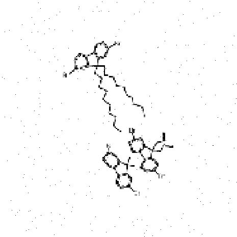 C=CCC1(CC=C)c2cc(Br)ccc2-c2ccc(Br)cc21.CC1(C)c2cc(Br)ccc2-c2ccc(Br)cc21.CCCCCCCCCCC1(CCCCCCCCCC)c2cc(Br)ccc2-c2ccc(Br)cc21